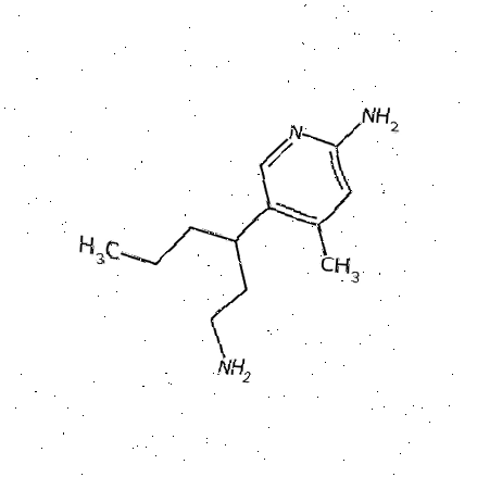 CCCC(CCN)c1cnc(N)cc1C